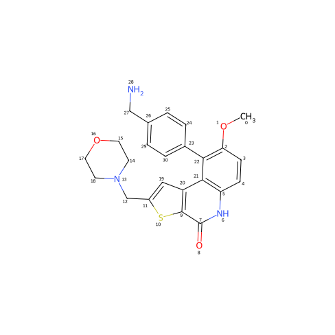 COc1ccc2[nH]c(=O)c3sc(CN4CCOCC4)cc3c2c1-c1ccc(CN)cc1